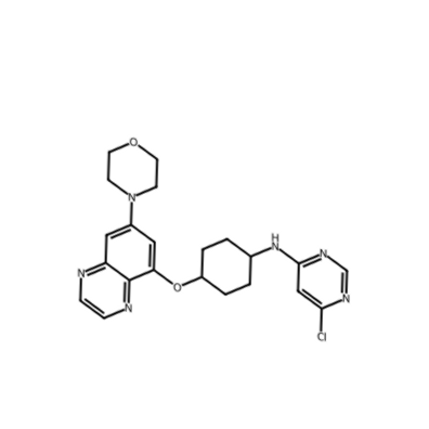 Clc1cc(NC2CCC(Oc3cc(N4CCOCC4)cc4nccnc34)CC2)ncn1